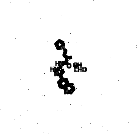 CC(CCN1CCCC1)C(=O)Nc1cc(-c2ccc3ncccc3c2)n[nH]1.O=CO